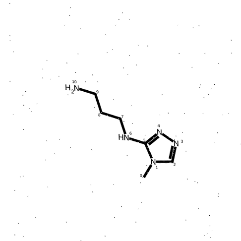 Cn1cnnc1NCCCN